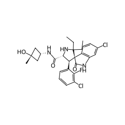 CCC1(CC)N[C@@H](C(=O)N[C@H]2C[C@@](C)(O)C2)[C@H](c2cccc(Cl)c2F)[C@]12C(=O)Nc1cc(Cl)ccc12